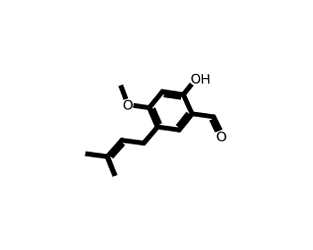 COc1cc(O)c(C=O)cc1CC=C(C)C